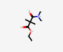 CCOC(=O)C(C)(C)C(=O)N(C)C